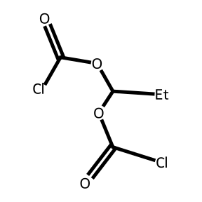 CCC(OC(=O)Cl)OC(=O)Cl